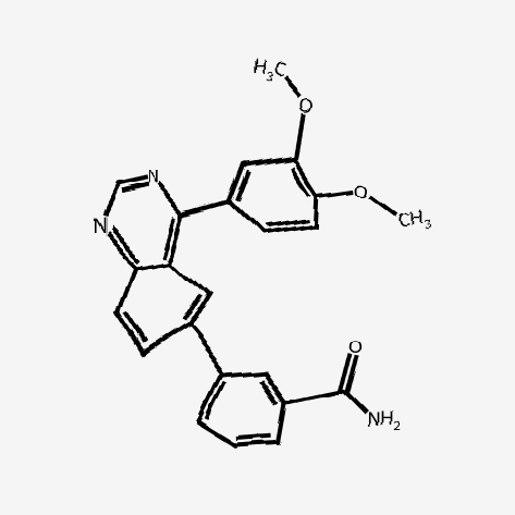 COc1ccc(-c2ncnc3ccc(-c4cccc(C(N)=O)c4)cc23)cc1OC